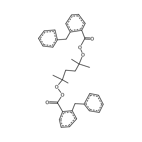 CC(C)(CCC(C)(C)OOC(=O)c1ccccc1Cc1ccccc1)OOC(=O)c1ccccc1Cc1ccccc1